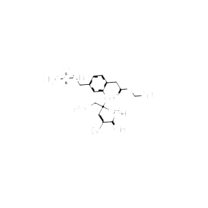 C=C(O)/C(Br)=C\C(C)(CC)Oc1cc(CNS(C)(=O)=O)ccc1CC(=O)OCC